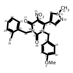 COc1ccc(Cn2c(-c3cnn(C)c3)c([N+](=O)[O-])c(=O)n(Cc3ccccc3F)c2=O)cc1